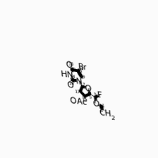 C=COC(F)[C@H]1O[C@@H](n2cc(Br)c(=O)[nH]c2=O)C[C@@H]1OC(C)=O